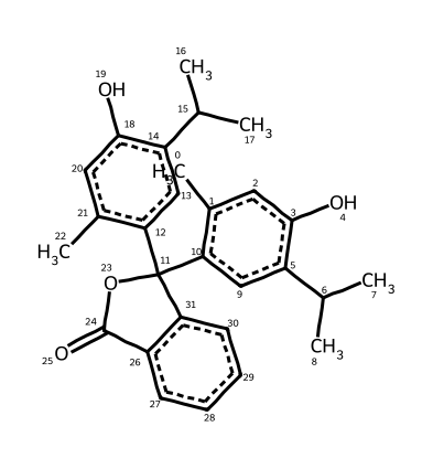 Cc1cc(O)c(C(C)C)cc1C1(c2cc(C(C)C)c(O)cc2C)OC(=O)c2ccccc21